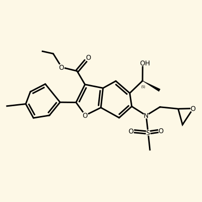 CCOC(=O)c1c(-c2ccc(C)cc2)oc2cc(N(CC3CO3)S(C)(=O)=O)c([C@H](C)O)cc12